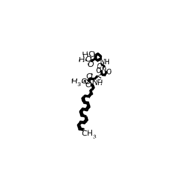 CC/C=C\C/C=C\C/C=C\C/C=C\C/C=C\C/C=C\CCC(=O)NC(CSC1CC(=O)N(CC(=O)Nc2ccc(O)c(C(=O)O)c2)C1=O)C(=O)OC